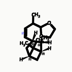 CC(/C=C\[C@H]1C[C@@H]2C[C@H]([C@H]1C)C2(C)C)C1OCCO1